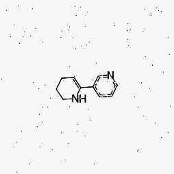 C1=C(c2cccnc2)NCCC1